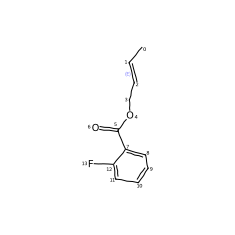 C/C=C/COC(=O)c1ccccc1F